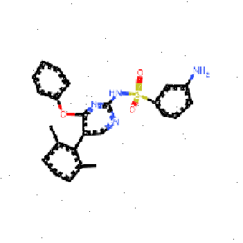 Cc1cccc(C)c1-c1cnc(NS(=O)(=O)c2cccc(N)c2)nc1Oc1ccccc1